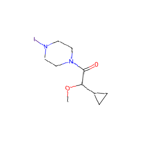 COC(C(=O)N1CCN(I)CC1)C1CC1